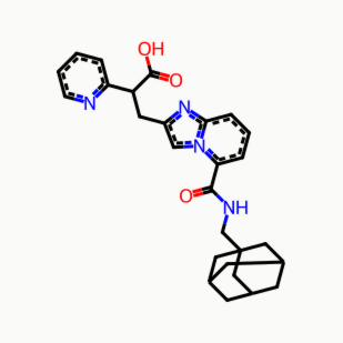 O=C(NCC12CC3CC(CC(C3)C1)C2)c1cccc2nc(CC(C(=O)O)c3ccccn3)cn12